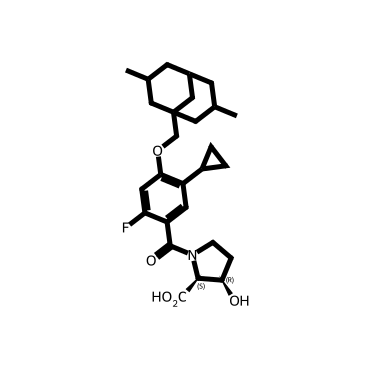 CC1CC2CC(C)CC(COc3cc(F)c(C(=O)N4CC[C@@H](O)[C@H]4C(=O)O)cc3C3CC3)(C1)C2